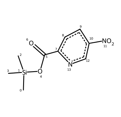 C[Si](C)(C)OC(=O)c1ccc([N+](=O)[O-])cn1